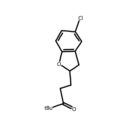 CC(C)(C)C(=O)CCC1Cc2cc(Cl)ccc2O1